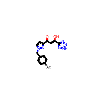 CC(=O)c1ccc(Cn2ccc(C(=O)C=C(O)c3nn[nH]n3)n2)cc1